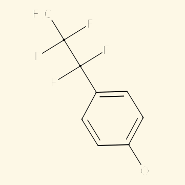 [O]c1ccc(C(F)(F)C(F)(F)C(F)(F)F)cc1